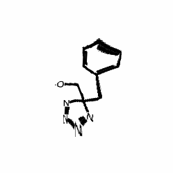 [O]CC1(Cc2ccccc2)N=NN=N1